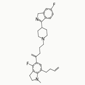 C=CCCc1cc(C(=C)CCCN2CCC(C3=NCc4cc(F)ccc43)CC2)c(F)c2c1N(C)CC2